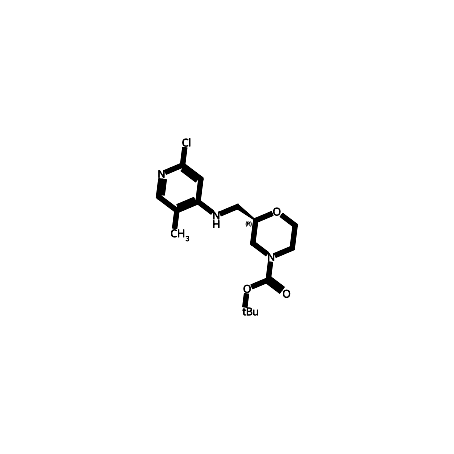 Cc1cnc(Cl)cc1NC[C@@H]1CN(C(=O)OC(C)(C)C)CCO1